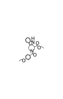 CCOC(=O)C1CN(C(=O)c2ccc(OCC)cc2)CCc2c1[nH]c1ccccc21